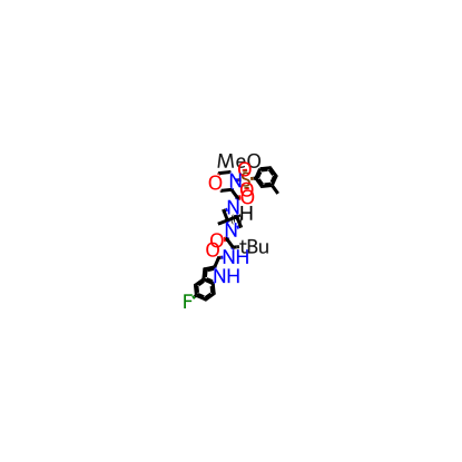 COc1ccc(C)cc1S(=O)(=O)N1CCOCC1C(=O)N1CC2(C)[C@H]1CN2C(=O)C(NC(=O)c1cc2cc(F)ccc2[nH]1)C(C)(C)C